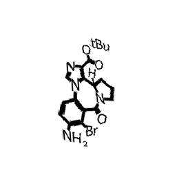 CC(C)(C)OC(=O)c1ncn2c1[C@@H]1CCCN1C(=O)c1c-2ccc(N)c1Br